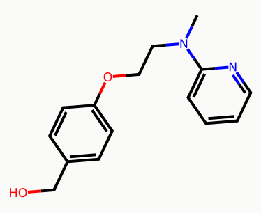 CN(CCOc1ccc(CO)cc1)c1ccccn1